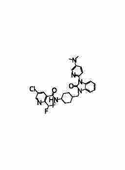 CN(C)c1ccc(-n2c(=O)n(CC3CCC(NC(=O)c4cc(Cl)cnc4C(F)F)CC3)c3ccccc32)nc1